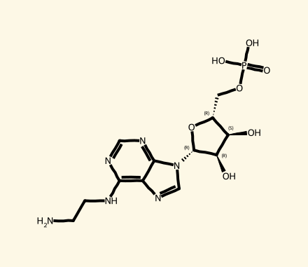 NCCNc1ncnc2c1ncn2[C@@H]1O[C@H](COP(=O)(O)O)[C@@H](O)[C@H]1O